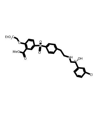 CCOC(=O)COc1ccc(S(=O)(=O)c2ccc(CCNC[C@H](O)c3cccc(Cl)c3)cc2)cc1C(=O)OC